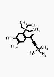 CC[Si](CC)(CC)C1=C(C(=O)C#C[Si](C)(C)C)CC(C)=C(C)C1